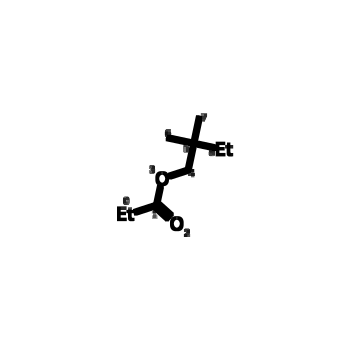 [CH2]CC(=O)OCC(C)(C)CC